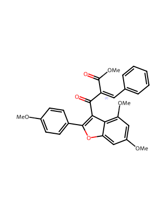 COC(=O)/C(=C\c1ccccc1)C(=O)c1c(-c2ccc(OC)cc2)oc2cc(OC)cc(OC)c12